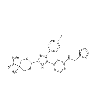 CNC(=O)C1(C)COC(c2nc(-c3ccc(F)cc3)c(-c3ccnc(NCc4cccs4)n3)[nH]2)OC1